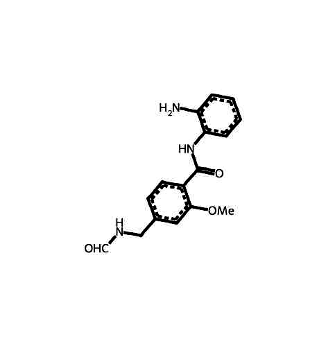 COc1cc(CNC=O)ccc1C(=O)Nc1ccccc1N